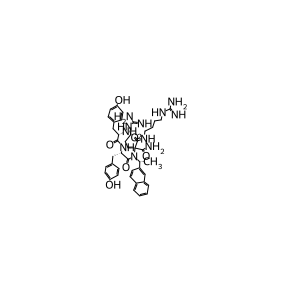 C[C@H](c1ccc2ccccc2c1)N(C(=O)[C@H](Cc1ccc(O)cc1)NC(=O)[C@@H](N)Cc1ccc(O)cc1)[C@@](CCCNC(=N)N)(C(N)=O)C(=O)NCCCCNC(=N)N